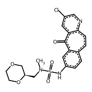 CN(C[C@@H]1COCCO1)S(=O)(=O)Nc1ccc2ccc3ncc(Cl)cc3c(=O)c2c1